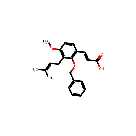 COc1ccc(/C=C/C(=O)O)c(OCc2ccccc2)c1CC=C(C)C